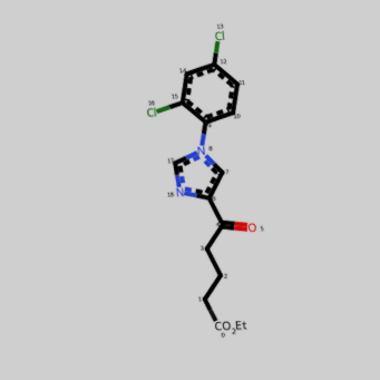 CCOC(=O)CCCC(=O)c1cn(-c2ccc(Cl)cc2Cl)cn1